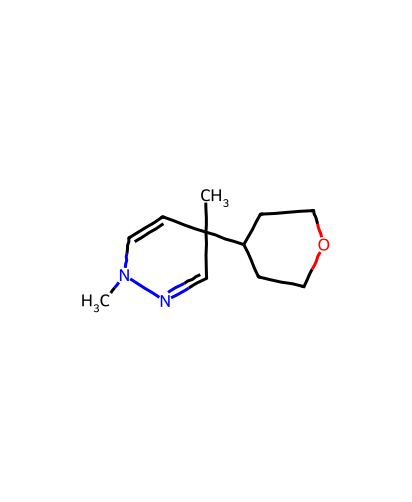 CN1C=CC(C)(C2CCOCC2)C=N1